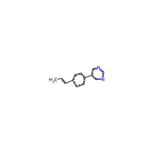 [CH2]/C=C/c1ccc(-c2cncnc2)cc1